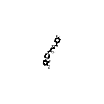 COc1cccc(N2CCN(C[C@H](O)CCNC(=O)C3CCC(F)(F)CC3)CC2)c1F